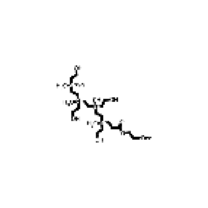 CCCCCCCCCCCCOC(=O)CC[N+](C)(CCO)CC[N+](C)(CCO)CC[N+](C)(CCO)CC[N+](C)(CCC)CCO